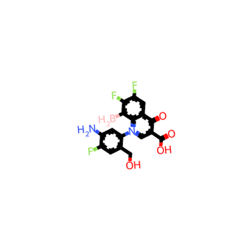 Bc1c(F)c(F)cc2c(=O)c(C(=O)O)cn(-c3cc(N)c(F)cc3CO)c12